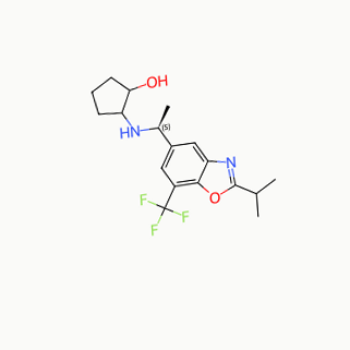 CC(C)c1nc2cc([C@H](C)NC3CCCC3O)cc(C(F)(F)F)c2o1